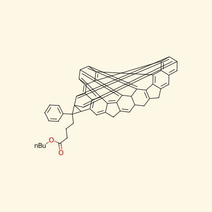 CCCCOC(=O)CCCC1(c2ccccc2)C2c3cc4c5c6c7c8c9c%10c%11c%12c(cc%13cc%14c%15c(c%16c3c5c8c%16c3c%15c%13c%12c93)C21C=%14)CC=%11CC(C=C6C4)C7%10